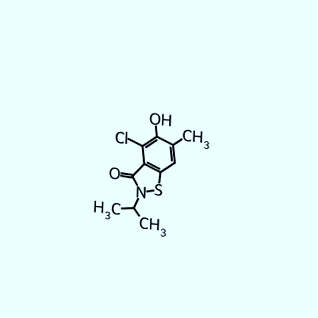 Cc1cc2sn(C(C)C)c(=O)c2c(Cl)c1O